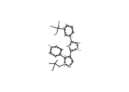 CC(C)(C)Cn1ncc(-c2nc(-c3cccc(C(F)(F)F)c3)no2)c1-c1ccncc1